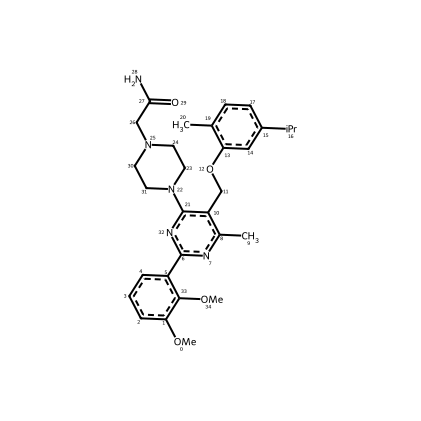 COc1cccc(-c2nc(C)c(COc3cc(C(C)C)ccc3C)c(N3CCN(CC(N)=O)CC3)n2)c1OC